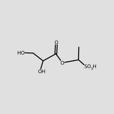 CC(OC(=O)C(O)CO)S(=O)(=O)O